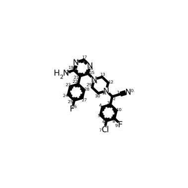 N#CC(c1ccc(Cl)c(F)c1)N1CCN(c2ncnc(N)c2-c2ccc(F)cc2)CC1